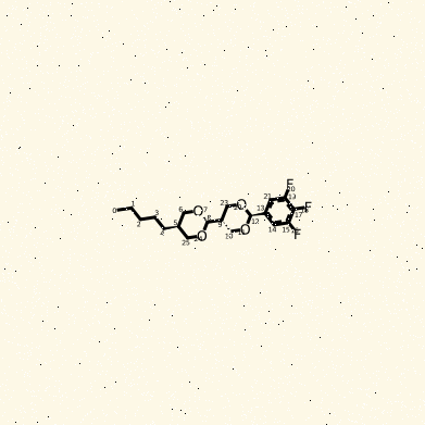 CCCCC[C@H]1CO[C@H]([C@H]2CO[C@H](c3cc(F)c(F)c(F)c3)OC2)OC1